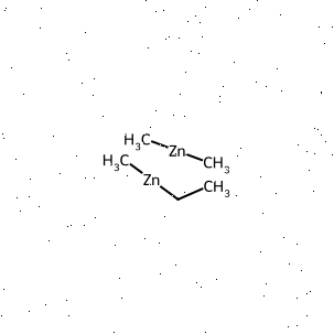 C[CH2][Zn][CH3].[CH3][Zn][CH3]